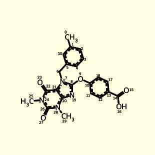 Cc1cccc(Cn2c(Oc3ccc(C(=O)O)cc3)nc3c2c(=O)n(C)c(=O)n3C)c1